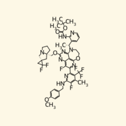 COc1ccc(CNc2nc(-c3nc4c5c(nc(OC[C@@]67CCCN6C[C@]6(CC6(F)F)C7)nc5c3F)N([C@H](C)c3cccnc3NC(=O)OC(C)(C)C)CCO4)c(C(F)(F)F)c(C)c2F)cc1